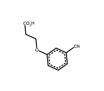 N#Cc1cccc(OCCC(=O)O)c1